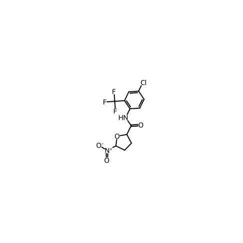 O=C(Nc1ccc(Cl)cc1C(F)(F)F)C1CCC([N+](=O)[O-])O1